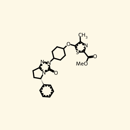 COC(=O)c1nc(C)c(OC2CCC(n3nc4n(c3=O)[C@H](c3ccccc3)CC4)CC2)s1